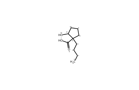 CCCCC1(C(=O)O)CCCC1O